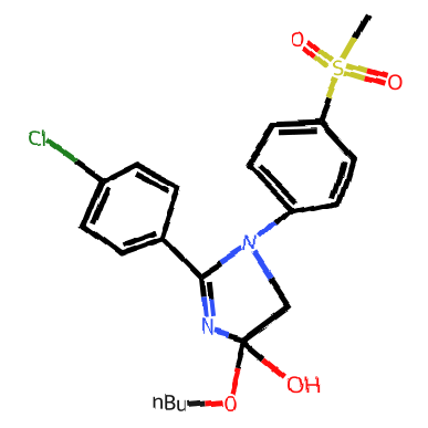 CCCCOC1(O)CN(c2ccc(S(C)(=O)=O)cc2)C(c2ccc(Cl)cc2)=N1